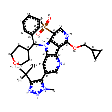 [2H]C([2H])([2H])c1nnn(C)c1-c1cnc2c3c(OCC4CC4)ncc(S(C)(=O)=O)c3n([C@H](c3ccccc3)C3CCOCC3)c2c1